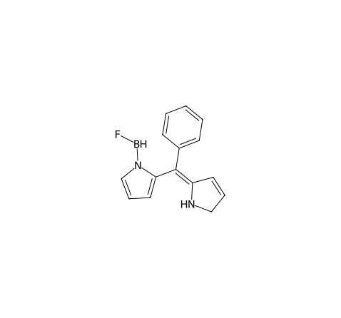 FBn1cccc1/C(=C1/C=CCN1)c1ccccc1